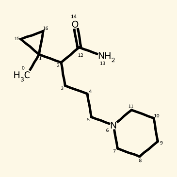 CC1(C(CCCN2CCCCC2)C(N)=O)CC1